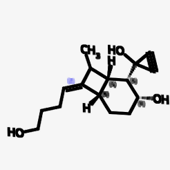 CC1/C(=C/CCCO)[C@H]2CC[C@@H](O)[C@@H](C3(O)C#C3)[C@@H]12